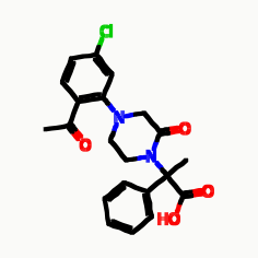 CC(=O)c1ccc(Cl)cc1N1CCN(C(C)(C(=O)O)c2ccccc2)C(=O)C1